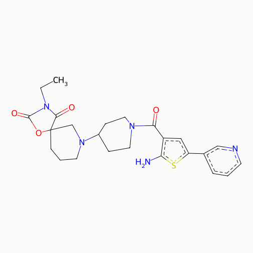 CCN1C(=O)OC2(CCCN(C3CCN(C(=O)c4cc(-c5cccnc5)sc4N)CC3)C2)C1=O